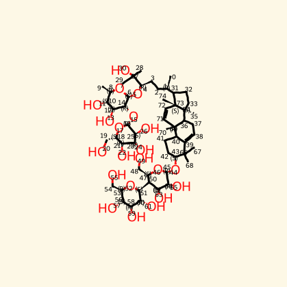 C[C@H](CC[C@@H](O[C@@H]1O[C@H](C)[C@@H](O)[C@H](O)[C@H]1O[C@H]1O[C@@H](CO)[C@H](O)[C@@H](O)[C@@H]1O)C(C)(C)O)C1CC[C@@]2(C)C3CC=C4C(CC[C@H](O[C@@H]5O[C@H](CO)C([C@@H]6O[C@H](CO)[C@@H](O)[C@H](O)[C@H]6O)[C@H](O)[C@H]5O)C4(C)C)[C@]3(C)C=C[C@]12C